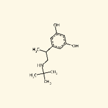 CC(CNC(C)(C)C)c1cc(O)cc(O)c1